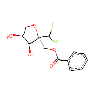 O=C(OC[C@@]1(C(F)F)OC[C@H](O)[C@@H]1O)c1ccccc1